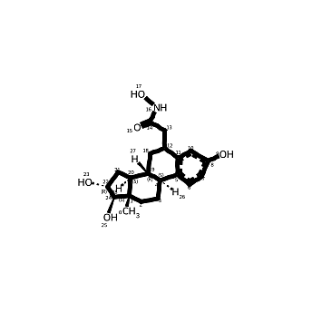 C[C@]12CC[C@@H]3c4ccc(O)cc4C([CH]C(=O)NO)C[C@H]3[C@@H]1C[C@@H](O)[C@@H]2O